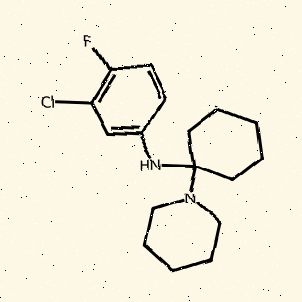 Fc1ccc(NC2(N3CCCCC3)C[CH]CCC2)cc1Cl